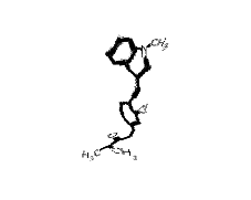 CC(C)C(=O)Cc1ccc(C#Cc2cn(C)c3ccccc23)c(Cl)c1